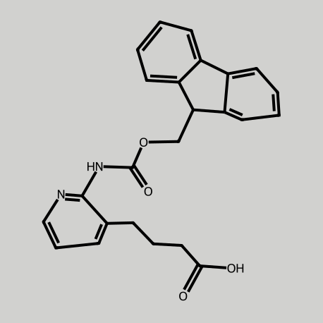 O=C(O)CCCc1cccnc1NC(=O)OCC1c2ccccc2-c2ccccc21